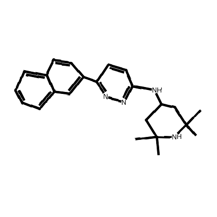 CC1(C)CC(Nc2ccc(-c3ccc4ccccc4c3)nn2)CC(C)(C)N1